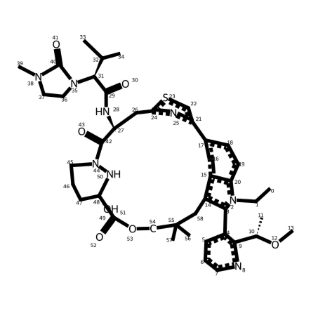 CCn1c(-c2cccnc2[C@H](C)OC)c2c3cc(ccc31)-c1csc(n1)C[C@H](NC(=O)[C@H](C(C)C)N1CCN(C)C1=O)C(=O)N1CCC[C@@](O)(N1)C(=O)OCC(C)(C)C2